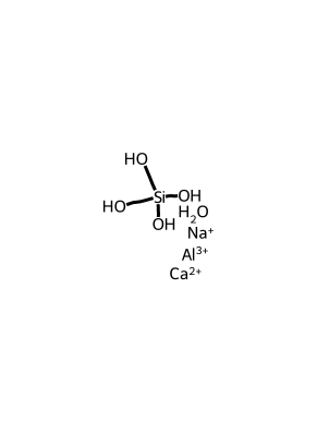 O.O[Si](O)(O)O.[Al+3].[Ca+2].[Na+]